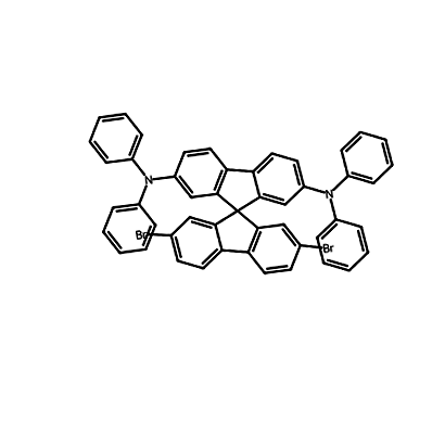 Brc1ccc2c(c1)C1(c3cc(Br)ccc3-2)c2cc(N(c3ccccc3)c3ccccc3)ccc2-c2ccc(N(c3ccccc3)c3ccccc3)cc21